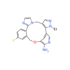 CCn1ncc2c1-c1cnc(N)c(c1)OCc1cc(F)ccc1-c1nccn1C2